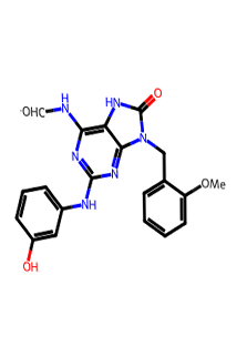 COc1ccccc1Cn1c(=O)[nH]c2c(N[C]=O)nc(Nc3cccc(O)c3)nc21